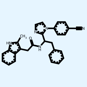 Cc1[nH]c2ccccc2c1CC(=O)NC(Cc1ccccc1)c1nccn1-c1ccc(C#N)cc1